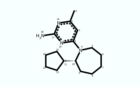 Cc1cc(N2CCCCC[C@@H]2C2CCCC2)nc(N)n1